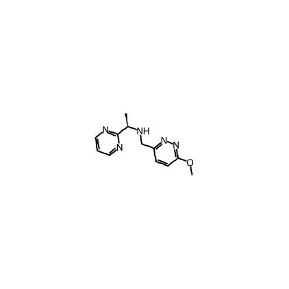 COc1ccc(CN[C@H](C)c2ncccn2)nn1